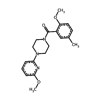 COc1cccc(N2CCN(C(=O)c3cc(C)ccc3OC)CC2)n1